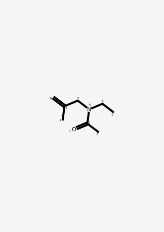 C=C(C)CN(CC)C(C)=O